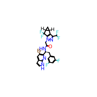 O=C(Cn1nc(C(F)F)c2c1C(F)(F)[C@@H]1C[C@H]21)N[C@@H](Cc1cc(F)cc(F)c1)c1nc2[nH]ccc2cc1Br